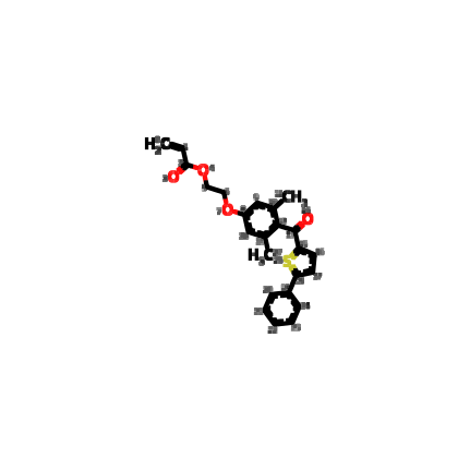 C=CC(=O)OCCOc1cc(C)c(C(=O)c2ccc(-c3ccccc3)s2)c(C)c1